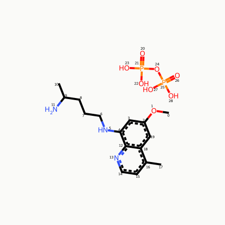 COc1cc(NCCCC(C)N)c2nccc(C)c2c1.O=P(O)(O)OP(=O)(O)O